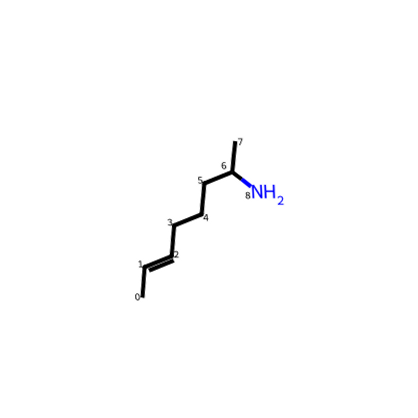 CC=CCCCC(C)N